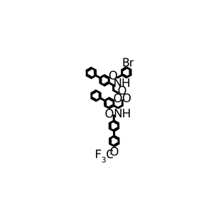 O=C(CC(NC(=O)c1ccc(-c2ccc(OC(F)(F)F)cc2)cc1)c1ccc(-c2ccccc2)cc1)OC(=O)CC(NC(=O)c1cccc(Br)c1)c1ccc(-c2ccccc2)cc1